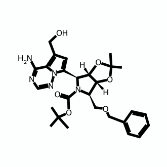 CC(C)(C)OC(=O)N1[C@H](COCc2ccccc2)[C@H]2OC(C)(C)O[C@H]2[C@@H]1c1cc(CO)c2c(N)ncnn12